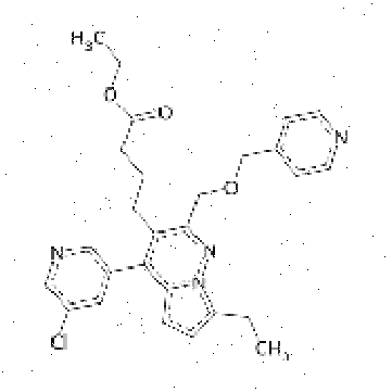 CCOC(=O)CCCc1c(COCc2ccncc2)nn2c(CC)ccc2c1-c1cncc(Cl)c1